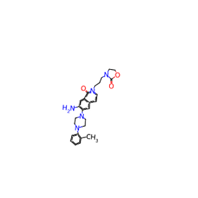 Cc1ccccc1N1CCN(c2cc3ccn(CCCN4CCOC4=O)c(=O)c3cc2N)CC1